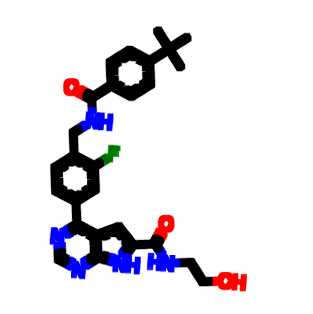 CC(C)(C)c1ccc(C(=O)NCc2ccc(-c3ncnc4[nH]c(C(=O)NCCO)cc34)cc2F)cc1